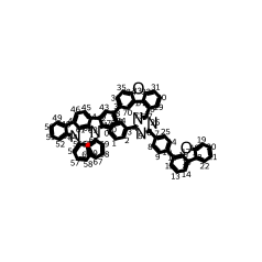 c1ccc(-c2nc(-c3ccc(-c4cccc5c4oc4ccccc45)cc3)nc(-c3cccc4oc5ccc(-c6ccc7c(c6)c6ccc8c9ccccc9n(-c9ccccc9)c8c6n7-c6ccccc6)cc5c34)n2)cc1